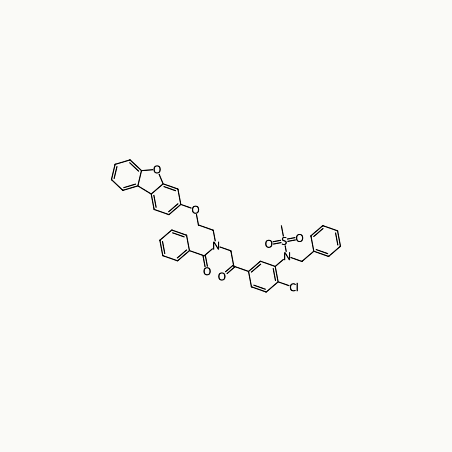 CS(=O)(=O)N(Cc1ccccc1)c1cc(C(=O)CN(CCOc2ccc3c(c2)oc2ccccc23)C(=O)c2ccccc2)ccc1Cl